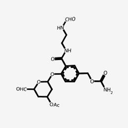 CC(=O)OC1CC(C=O)OC(Oc2ccc(COC(N)=O)cc2C(=O)NCCNC=O)C1